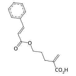 C=C(CCCOC(=O)C=Cc1ccccc1)C(=O)O